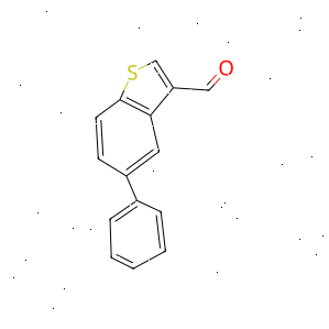 O=Cc1csc2ccc(-c3ccccc3)cc12